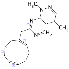 C=N/C(C/C1=C/CC/C=C\C=C/C1)=N\C1CC(C)C=NN1C